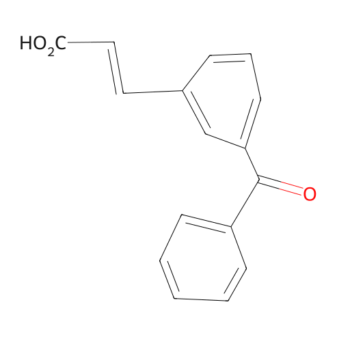 O=C(O)/C=C/c1cccc(C(=O)c2ccccc2)c1